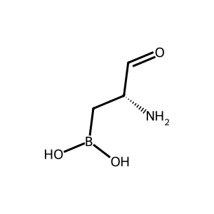 N[C@@H](C=O)CB(O)O